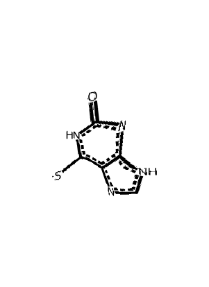 O=c1nc2[nH]cnc2c([S])[nH]1